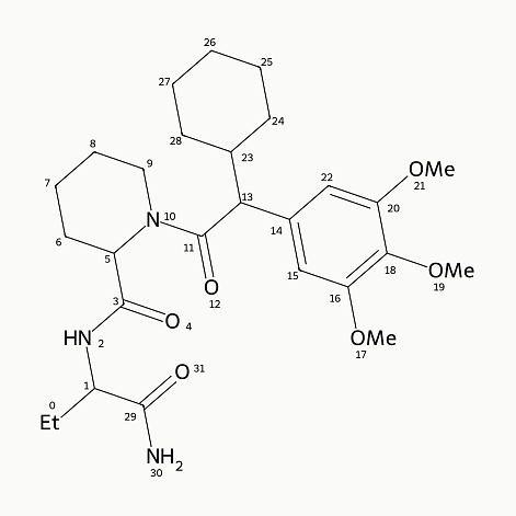 CCC(NC(=O)C1CCCCN1C(=O)C(c1cc(OC)c(OC)c(OC)c1)C1CCCCC1)C(N)=O